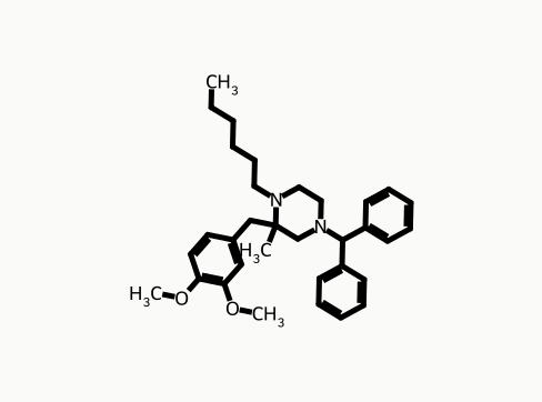 CCCCCCN1CCN(C(c2ccccc2)c2ccccc2)CC1(C)Cc1ccc(OC)c(OC)c1